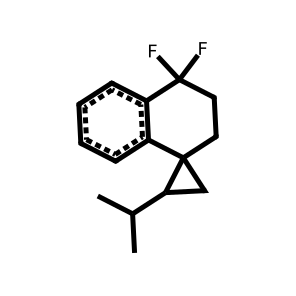 CC(C)C1CC12CCC(F)(F)c1ccccc12